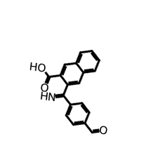 N=C(c1ccc(C=O)cc1)c1cc2ccccc2cc1C(=O)O